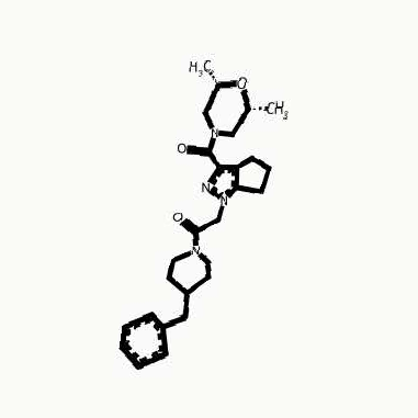 C[C@@H]1CN(C(=O)c2nn(CC(=O)N3CCC(Cc4ccccc4)CC3)c3c2CCC3)C[C@H](C)O1